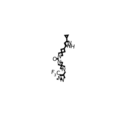 Cn1ncc(CN2CC3(C2)CN(C(=O)N2CC4(CC(c5cc(C6CC6)n[nH]5)C4)C2)C3)c1C(F)(F)F